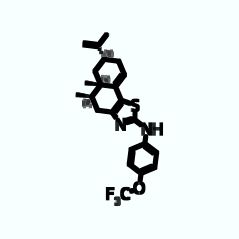 C=C(C)[C@@H]1CC=C2c3sc(Nc4ccc(OC(F)(F)F)cc4)nc3C[C@@H](C)[C@]2(C)C1